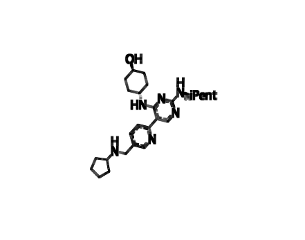 CCC[C@H](C)Nc1ncc(-c2ccc(CNC3CCCC3)cn2)c(N[C@H]2CC[C@H](O)CC2)n1